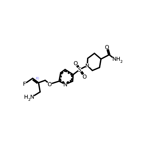 NC/C(=C\F)COc1ccc(S(=O)(=O)N2CCC(C(N)=O)CC2)cn1